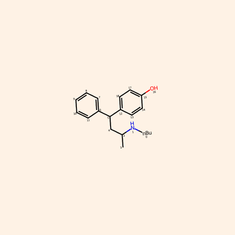 CCCCNC(C)CC(c1ccccc1)c1ccc(O)cc1